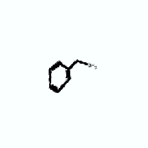 BCc1ccccc1